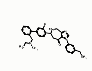 CCN(C)Cc1ccccc1-c1ccc(C2CC(=O)c3c(ncn3-c3cccc(CN)c3)CN2)c(F)c1